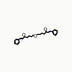 O=C(/C=C/c1ccccc1)CCCCOCCCCC(=O)/C=C/c1ccccc1